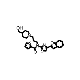 O=C(c1cccs1)N(CCCN1CCC(CO)CC1)c1nc(-c2cc3ccccc3o2)cs1